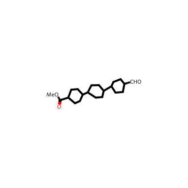 COC(=O)C1CCC(C2CCC(C3CCC(C=O)CC3)CC2)CC1